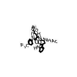 CC(=O)N[C@@H](Cc1c[nH]c2ccccc12)C(=O)NC(CCC(=O)C=[N+]=[N-])C(=O)Nc1ccc(C(F)(F)F)cc1